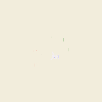 O=c1cc(C(Cl)C(F)(F)F)[nH]cc1O